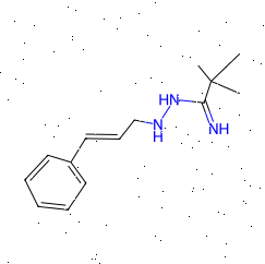 CC(C)(C)C(=N)NNC/C=C/c1ccccc1